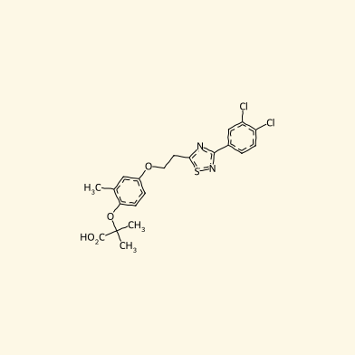 Cc1cc(OCCc2nc(-c3ccc(Cl)c(Cl)c3)ns2)ccc1OC(C)(C)C(=O)O